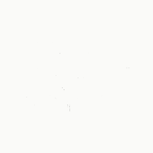 OCCC1CCC2=C(C1)N(C(c1ccccc1)(c1ccccc1)c1ccccc1)CN2